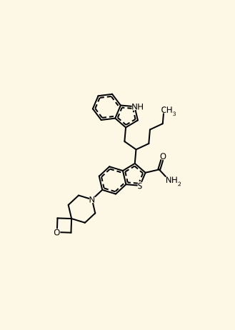 CCCCC(Cc1c[nH]c2ccccc12)c1c(C(N)=O)sc2cc(N3CCC4(CC3)COC4)ccc12